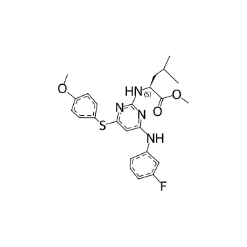 COC(=O)[C@H](CC(C)C)Nc1nc(Nc2cccc(F)c2)cc(Sc2ccc(OC)cc2)n1